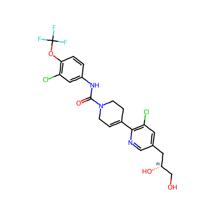 O=C(Nc1ccc(OC(F)(F)F)c(Cl)c1)N1CC=C(c2ncc(C[C@@H](O)CO)cc2Cl)CC1